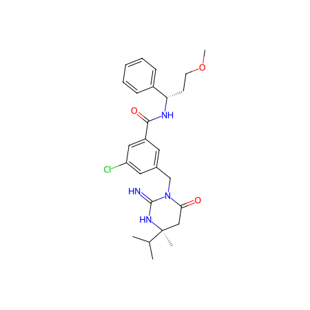 COCC[C@H](NC(=O)c1cc(Cl)cc(CN2C(=N)N[C@](C)(C(C)C)CC2=O)c1)c1ccccc1